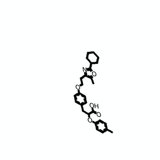 Cc1ccc(OC(Cc2ccc(OCCc3nc(C4CCCCC4)oc3C)cc2)C(=O)O)cc1